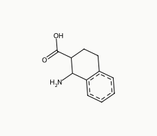 NC1c2ccccc2CCC1C(=O)O